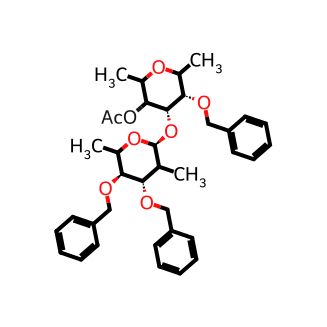 CC(=O)OC1C(C)OC(C)[C@H](OCc2ccccc2)[C@@H]1O[C@@H]1OC(C)[C@H](OCc2ccccc2)[C@@H](OCc2ccccc2)C1C